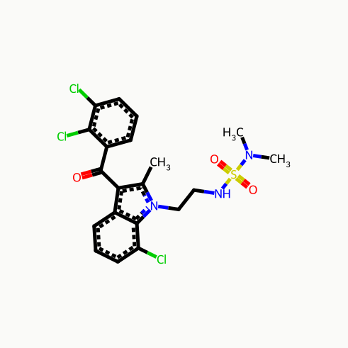 Cc1c(C(=O)c2cccc(Cl)c2Cl)c2cccc(Cl)c2n1CCNS(=O)(=O)N(C)C